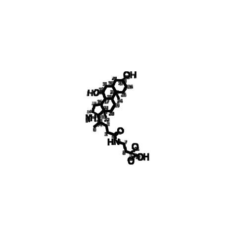 C[C@H](CCC(=O)NCCS(=O)(=O)O)[C@H]1CCC2C3C(CC[C@@]21C)[C@@]1(C)CC[C@@H](O)CC1C[C@H]3O.N